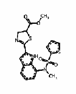 COC(=O)C1CN=C(c2cc3cccc(N(C)S(=O)(=O)c4cccs4)c3[nH]2)S1